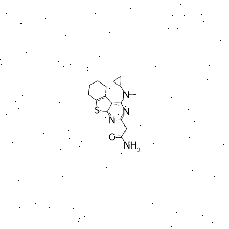 CN(c1nc(CC(N)=O)nc2sc3c(c12)CCCC3)C1CC1